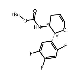 CC(C)(C)OC(=O)N[C@H]1CC=CO[C@@H]1c1cc(F)c(F)cc1F